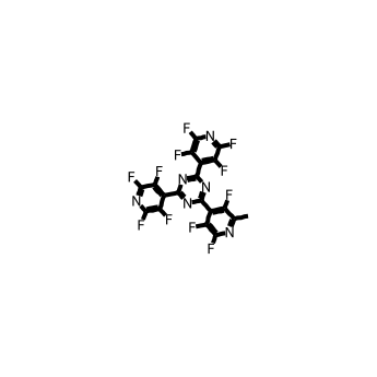 Cc1nc(F)c(F)c(-c2nc(-c3c(F)c(F)nc(F)c3F)nc(-c3c(F)c(F)nc(F)c3F)n2)c1F